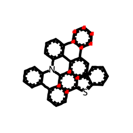 c1ccc(-c2ccccc2-c2c(-c3ccccc3)cccc2N(c2ccc3sc4ccccc4c3c2)c2ccccc2-c2ccccc2)cc1